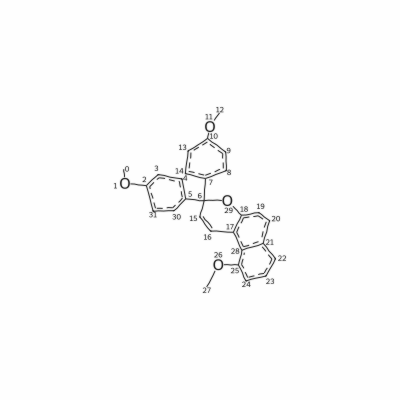 COc1ccc(C2(c3ccc(OC)cc3)C=Cc3c(ccc4cccc(OC)c34)O2)cc1